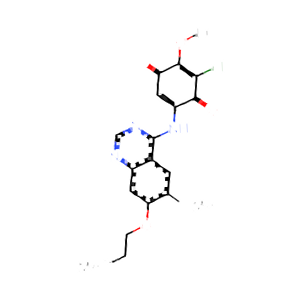 CCOC1=C(Cl)C(=O)C(Nc2ncnc3cc(OCCOC)c(OC)cc23)=CC1=O